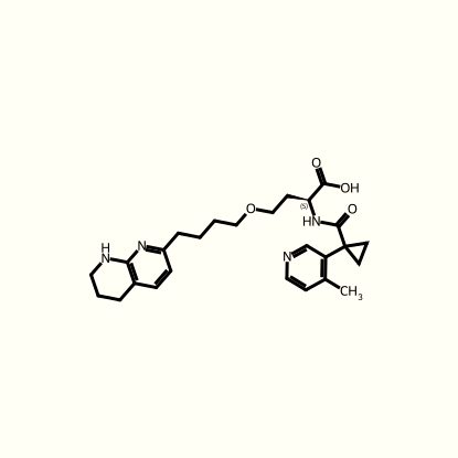 Cc1ccncc1C1(C(=O)N[C@@H](CCOCCCCc2ccc3c(n2)NCCC3)C(=O)O)CC1